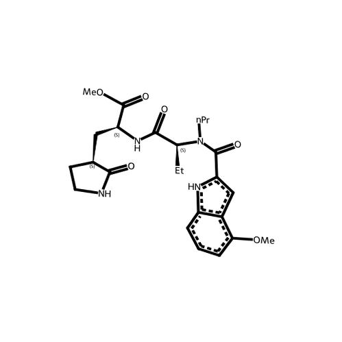 CCCN(C(=O)c1cc2c(OC)cccc2[nH]1)[C@@H](CC)C(=O)N[C@@H](C[C@@H]1CCNC1=O)C(=O)OC